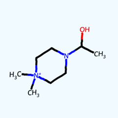 CC(O)N1CC[N+](C)(C)CC1